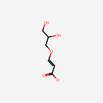 [O]C(=O)C=COCC(O)CO